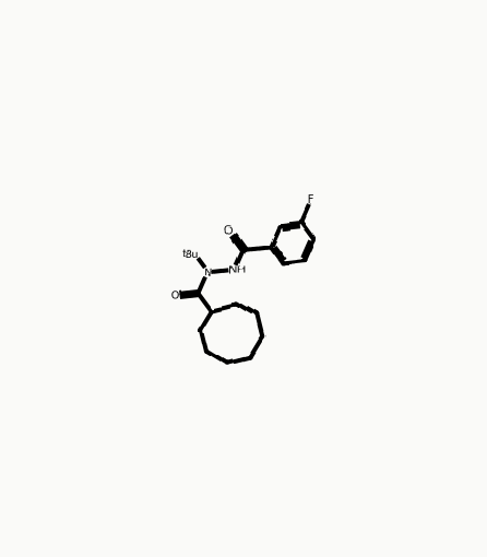 CC(C)(C)N(NC(=O)c1cccc(F)c1)C(=O)C1CCCCCCC1